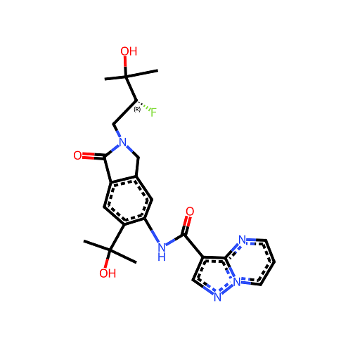 CC(C)(O)c1cc2c(cc1NC(=O)c1cnn3cccnc13)CN(C[C@@H](F)C(C)(C)O)C2=O